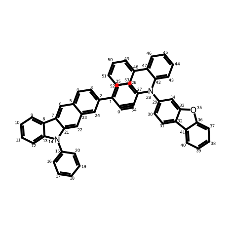 c1c(-c2ccc3cc4c5ccccc5n(-c5ccccc5)c4cc3c2)ccc(N(c2ccc3c(c2)oc2ccccc23)c2ccccc2C2=CC=CCC2)c#1